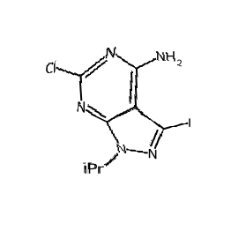 CC(C)n1nc(I)c2c(N)nc(Cl)nc21